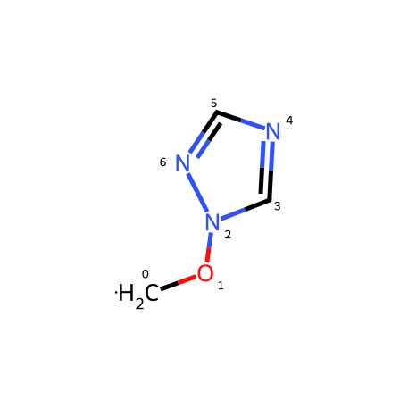 [CH2]On1cncn1